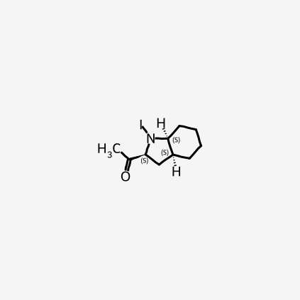 CC(=O)[C@@H]1C[C@@H]2CCCC[C@@H]2N1I